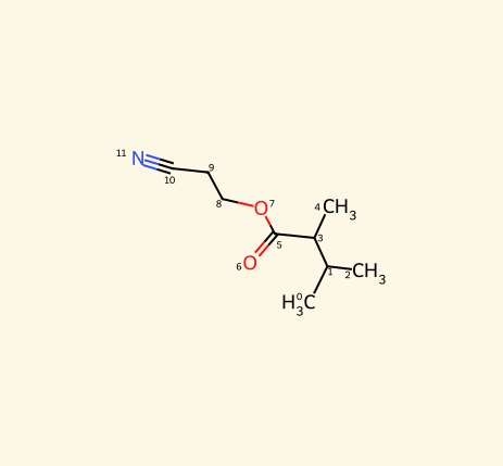 CC(C)C(C)C(=O)OCCC#N